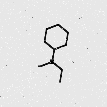 [CH2]N(CC)C1CCCCC1